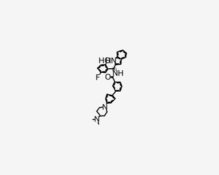 CN(C)C1CCN(c2ccc(-c3cccc(C(=O)N[C@@H](c4cc5ccccc5[nH]4)c4cc(F)ccc4O)c3)cc2)CC1